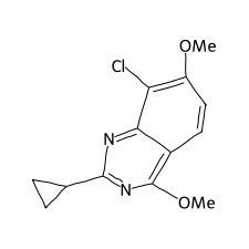 COc1ccc2c(OC)nc(C3CC3)nc2c1Cl